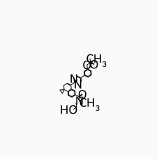 CC(=O)Oc1cccc(-c2cnc(C3=CCC4(CC4)c4ccc(C(=O)N(C)CCO)cc43)nc2)c1